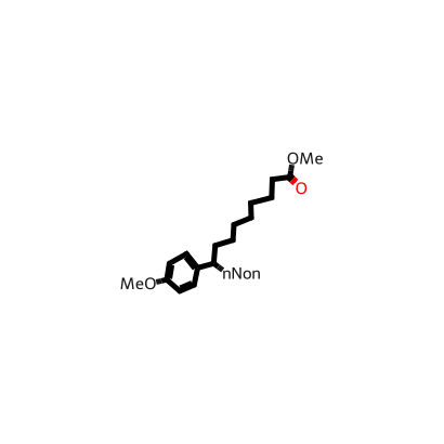 CCCCCCCCCC(CCCCCCCC(=O)OC)c1ccc(OC)cc1